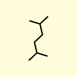 CC(C)CCC(C)C